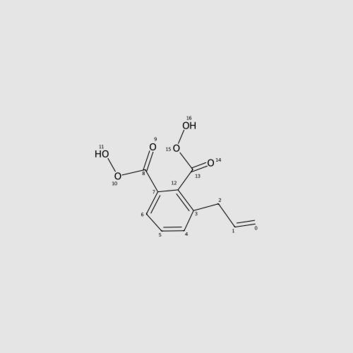 C=CCc1cccc(C(=O)OO)c1C(=O)OO